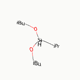 CCC(C)O[SiH](OC(C)CC)C(C)C